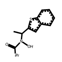 CC(C)C(=O)N(O)C(C)c1cc2ccccc2s1